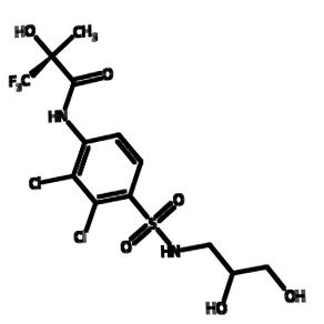 C[C@@](O)(C(=O)Nc1ccc(S(=O)(=O)NCC(O)CO)c(Cl)c1Cl)C(F)(F)F